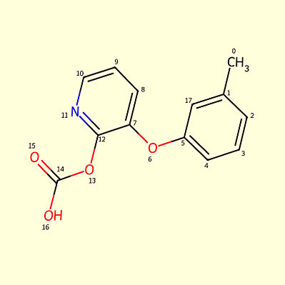 Cc1cccc(Oc2cccnc2OC(=O)O)c1